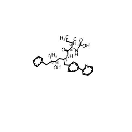 CC[C@H](C)[C@H](NC(=O)O)C(=O)N[C@@H](Cc1ccc(-c2ccccn2)cc1)C[C@H](O)[C@@H](N)Cc1ccccc1